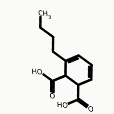 CCCCC1=CC=CC(C(=O)O)C1C(=O)O